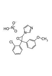 COc1cccc(C2(c3ccccc3Cl)OC2n2ccnc2)c1.O=[N+]([O-])O